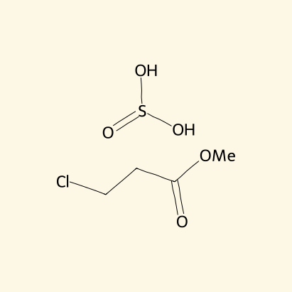 COC(=O)CCCl.O=S(O)O